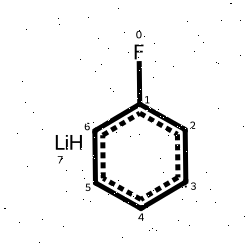 Fc1c[c]ccc1.[LiH]